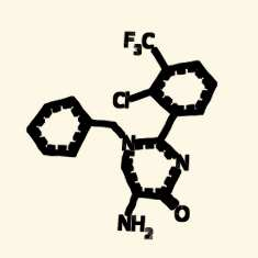 Nc1cn(Cc2ccccc2)c(-c2cccc(C(F)(F)F)c2Cl)nc1=O